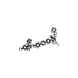 Cc1nn(CCOC2CCCCO2)c(=O)n1-c1ccc(N2CCN(c3ccc(OC[C@@H]4CO[C@@](Cn5ccnc5)(c5ccc(Cl)cc5Cl)O4)cc3)CC2)cc1